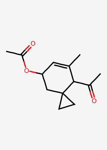 CC(=O)OC1C=C(C)C(C(C)=O)C2(CC2)C1